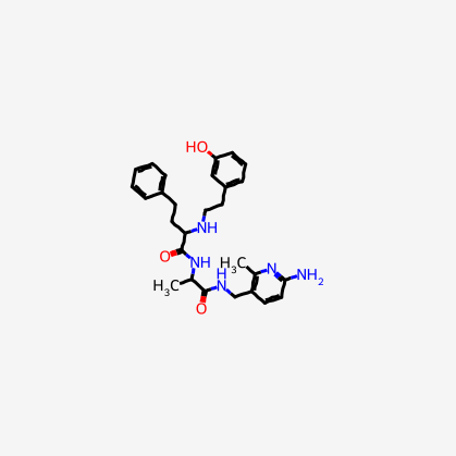 Cc1nc(N)ccc1CNC(=O)C(C)NC(=O)C(CCc1ccccc1)NCCc1cccc(O)c1